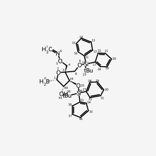 B[C@@H]1O[C@](CON=C)(CO[Si](c2ccccc2)(c2ccccc2)C(C)(C)C)[C@@H](O[Si](c2ccccc2)(c2ccccc2)C(C)(C)C)[C@@H]1O